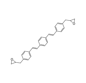 C(=C\c1ccc(CC2CO2)cc1)/c1ccc(/C=C/c2ccc(CC3CO3)cc2)cc1